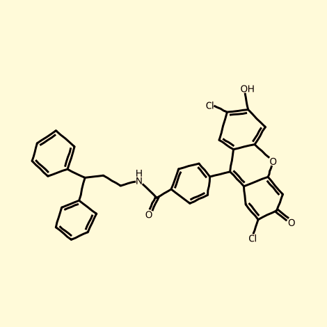 O=C(NCCC(c1ccccc1)c1ccccc1)c1ccc(-c2c3cc(Cl)c(=O)cc-3oc3cc(O)c(Cl)cc23)cc1